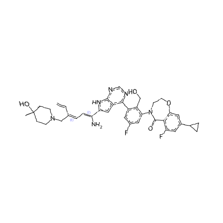 C=C/C(=C\C=C(/N)c1cc2c(-c3cc(F)cc(N4CCOc5cc(C6CC6)cc(F)c5C4=O)c3CO)ncnc2[nH]1)CN1CCC(C)(O)CC1